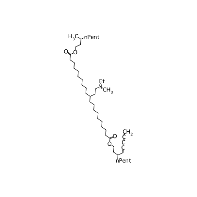 C=C=C=C=CC(CCCCC)CCOC(=O)CCCCCCCCCC(CCCCCCCCCC(=O)OCCC(C)CCCCC)CCN(C)CC